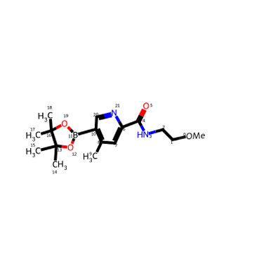 COCCNC(=O)c1cc(C)c(B2OC(C)(C)C(C)(C)O2)cn1